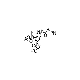 CC(C)(C)OC(=O)Nc1cc(N2CC[C@@H](O)C2=O)cc2cc(NC(=O)[C@H]3C[C@@H]3C#N)ncc12